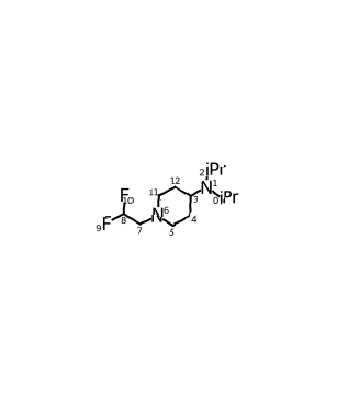 CC(C)N(C(C)C)C1CCN(CC(F)F)CC1